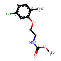 CC(C)(C)OC(=O)NCCOc1cc(Br)ccc1C=O